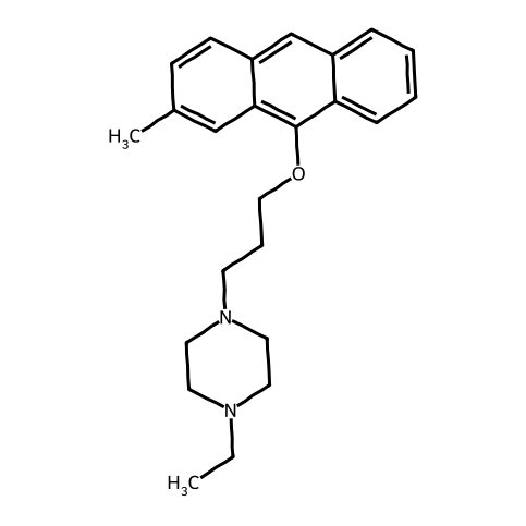 CCN1CCN(CCCOc2c3ccccc3cc3ccc(C)cc23)CC1